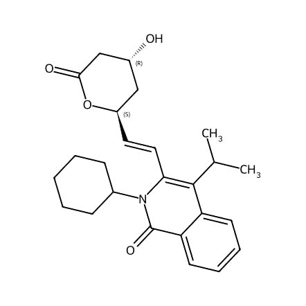 CC(C)c1c(C=C[C@@H]2C[C@@H](O)CC(=O)O2)n(C2CCCCC2)c(=O)c2ccccc12